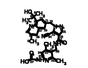 Cc1cnc2c(C(C)(C)O)cc(Cn3ncc(C(=O)NCc4c(C)cc(NC(=O)O)nc4C)c3C#N)cc2c1